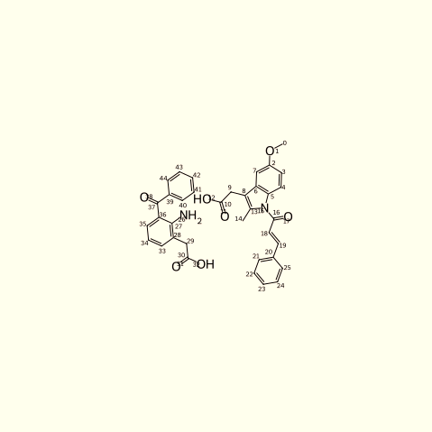 COc1ccc2c(c1)c(CC(=O)O)c(C)n2C(=O)/C=C/c1ccccc1.Nc1c(CC(=O)O)cccc1C(=O)c1ccccc1